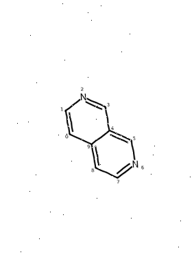 [c]1cncc2cnccc12